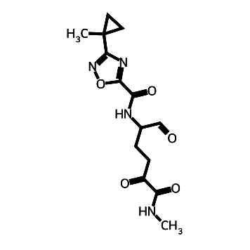 CNC(=O)C(=O)CCC(C=O)NC(=O)c1nc(C2(C)CC2)no1